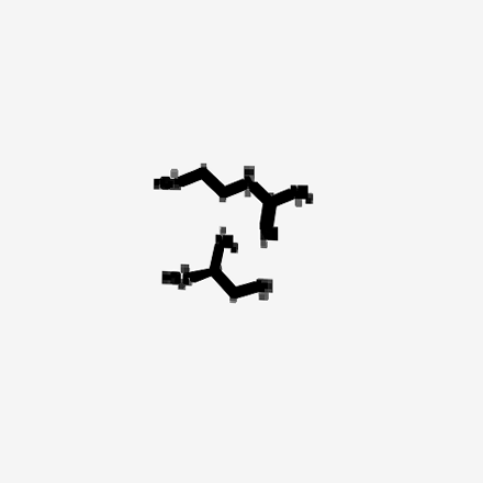 CCCCCCCCCCNC(=N)N.N[C@@H](CS)C(=O)O